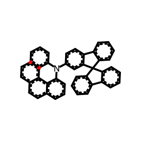 c1ccc(N(c2ccc3c(c2)C2(c4ccccc4-c4ccccc42)c2ccccc2-3)c2cccc3ccc4ccccc4c23)cc1